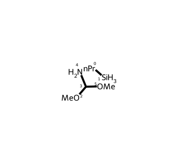 CCC[SiH3].COC(N)OC